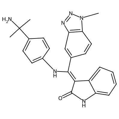 Cn1nnc2cc(/C(Nc3ccc(C(C)(C)N)cc3)=C3/C(=O)Nc4ccccc43)ccc21